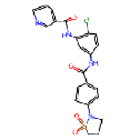 O=C(Nc1ccc(Cl)c(NC(=O)c2cccnc2)c1)c1ccc(N2CCCS2(=O)=O)cc1